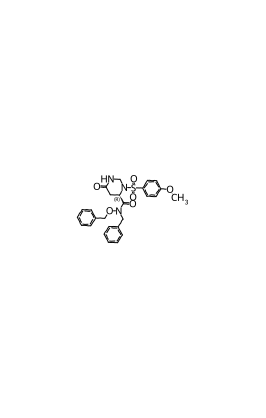 COc1ccc(S(=O)(=O)N2CNC(=O)C[C@@H]2C(=O)N(Cc2ccccc2)OCc2ccccc2)cc1